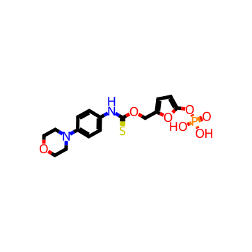 O=P(O)(O)Oc1ccc(COC(=S)Nc2ccc(N3CCOCC3)cc2)o1